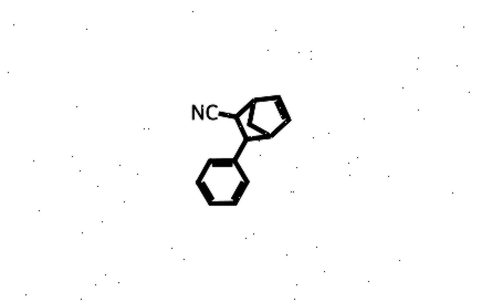 N#CC1C2C=CC(C2)C1c1ccccc1